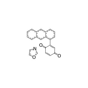 O=C1C=CC(=O)C(c2cccc3cc4ccccc4cc23)=C1.c1cocn1